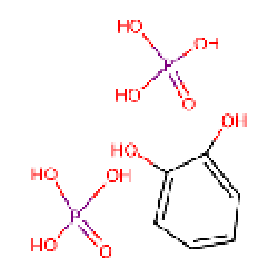 O=P(O)(O)O.O=P(O)(O)O.Oc1ccccc1O